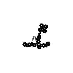 CCC1(CC)c2cc(/C=C/c3cccc4c3-c3ccccc3C4(c3ccccc3)c3ccccc3)ccc2-c2ccc(N(c3cccc4c3Cc3cc5c(cc3-4)Cc3ccccc3-5)C3C=C4Cc5cc6c(cc5C4=CC3)Cc3ccccc3-6)cc21